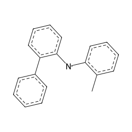 Cc1ccccc1[N]c1ccccc1-c1ccccc1